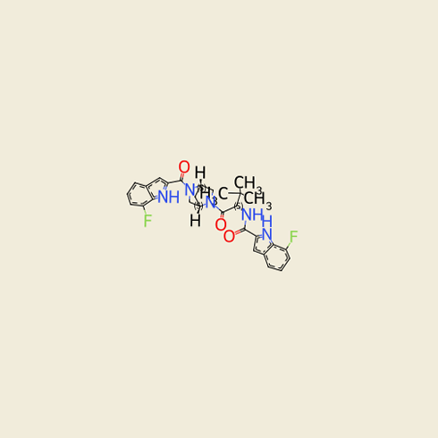 CC(C)(C)[C@H](NC(=O)c1cc2cccc(F)c2[nH]1)C(=O)N1C[C@@H]2C[C@H]1CN2C(=O)c1cc2cccc(F)c2[nH]1